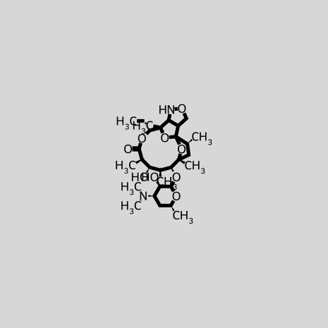 CC[C@H]1OC(=O)[C@H](C)[C@@H](O)[C@H](C)[C@@H](OC2O[C@H](C)C[C@H](N(C)C)[C@H]2O)[C@@]2(C)C[C@@H](C)C3(OC1(C)C1NOCC13)O2